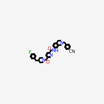 N#Cc1ccc(CN2CCc3ccc(NC(=O)c4ccc(C(=O)N5CCC(Cc6ccc(F)cc6)CC5)cn4)cc3C2)cc1